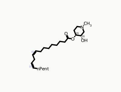 CCCCC/C=C\C/C=C\CCCCCCCC(=O)O[C@H]1CCN(C)C[C@@H]1O